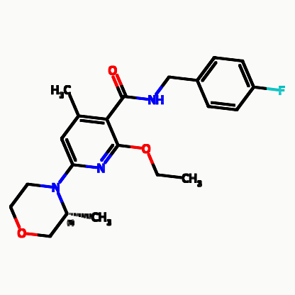 CCOc1nc(N2CCOC[C@H]2C)cc(C)c1C(=O)NCc1ccc(F)cc1